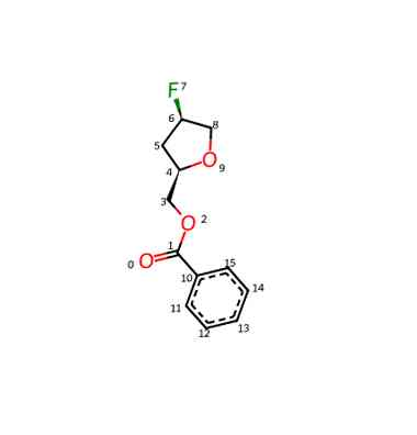 O=C(OC[C@H]1C[C@@H](F)CO1)c1ccccc1